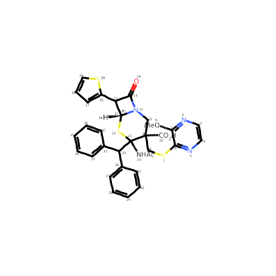 COc1nccnc1SCC1(C(=O)O)CN2C(=O)C(c3cccs3)[C@H]2SC1(NC(C)=O)C(c1ccccc1)c1ccccc1